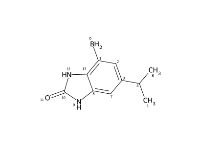 Bc1cc(C(C)C)cc2[nH]c(=O)[nH]c12